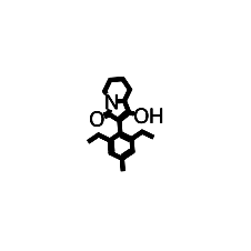 CCc1cc(C)cc(CC)c1C1=C(O)C2CCCCN2C1=O